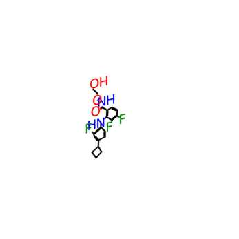 O=C(NOCCO)c1ccc(F)c(F)c1Nc1ccc(C2CCC2)cc1F